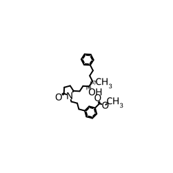 COC(=O)c1cccc(CCCN2C(=O)CCC2CC[C@@H](O)[C@@H](C)CCc2ccccc2)c1